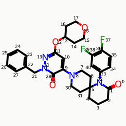 O=C1CCCC2(CCN(c3cc(OC4CCOCC4)nn(Cc4ccccc4)c3=O)CC2)N1c1ccc(F)c(F)c1